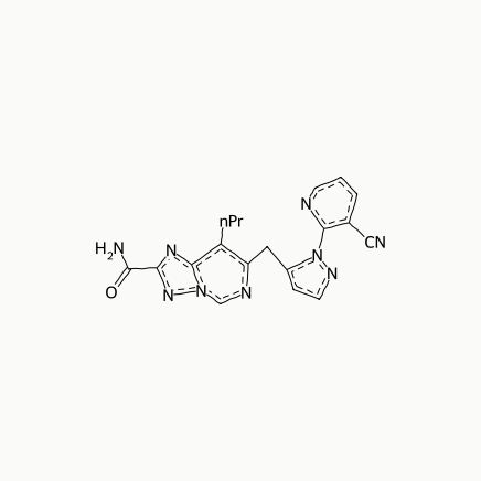 CCCc1c(Cc2ccnn2-c2ncccc2C#N)ncn2nc(C(N)=O)nc12